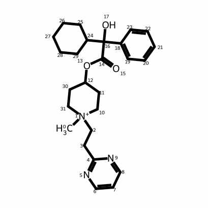 C[N+]1(CCc2ncccn2)CCC(OC(=O)C(O)(c2ccccc2)C2CCCCC2)CC1